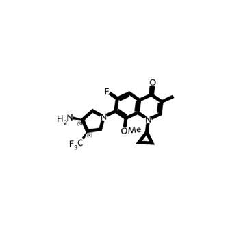 COc1c(N2C[C@@H](C(F)(F)F)[C@@H](N)C2)c(F)cc2c(=O)c(C)cn(C3CC3)c12